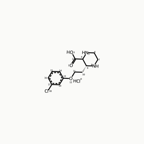 Cl.O=C(O)C1NCCN[C@@H]1CCOc1cccc(Cl)c1